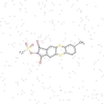 Cc1ccc2sc3cc4c(=O)n(OS(=O)(=O)C(F)(F)F)c(=O)c4cc3sc2c1